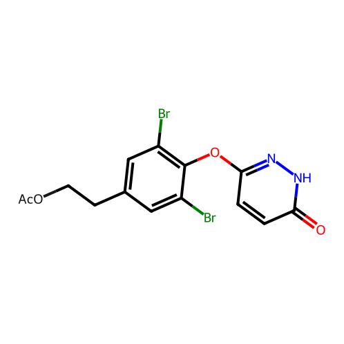 CC(=O)OCCc1cc(Br)c(Oc2ccc(=O)[nH]n2)c(Br)c1